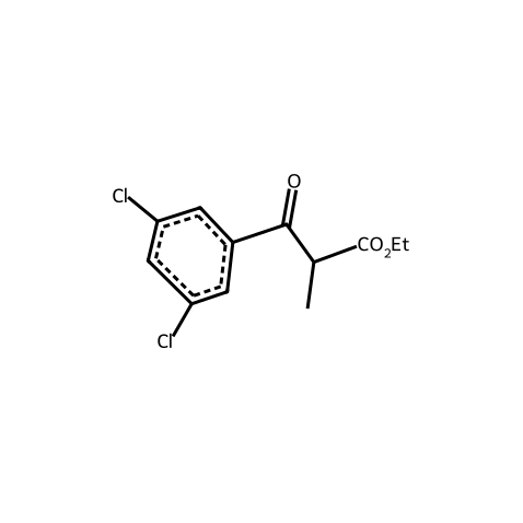 CCOC(=O)C(C)C(=O)c1cc(Cl)cc(Cl)c1